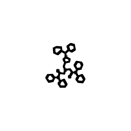 O=C(CN(CC(=O)N(c1ccccc1)c1ccccc1)CC1CCN(C(c2ccccc2)c2ccccc2)C1)N(c1ccccc1)c1ccccc1